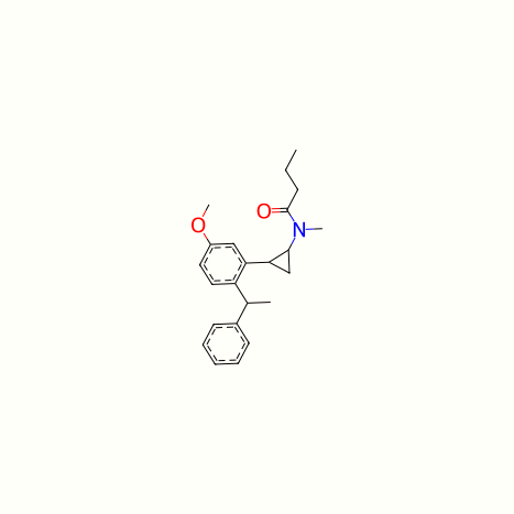 CCCC(=O)N(C)C1CC1c1cc(OC)ccc1C(C)c1ccccc1